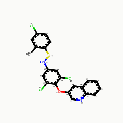 CCCc1cc(Cl)ccc1SNc1cc(Cl)c(Oc2cnc3ccccc3c2)c(Cl)c1